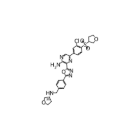 Nc1ncc(-c2ccc(S(=O)(=O)C3CCOC3)c(Cl)c2)nc1-c1nnc(-c2ccc(CN[C@@H]3CCOC3)cc2)o1